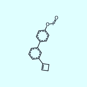 O=POc1ccc(-c2cccc(C3=CCC3)c2)cc1